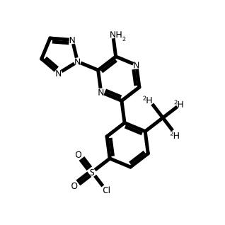 [2H]C([2H])([2H])c1ccc(S(=O)(=O)Cl)cc1-c1cnc(N)c(-n2nccn2)n1